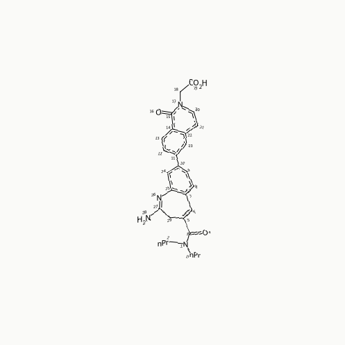 CCCN(CCC)C(=O)C1=Cc2ccc(-c3ccc4c(=O)n(CC(=O)O)ccc4c3)cc2N=C(N)C1